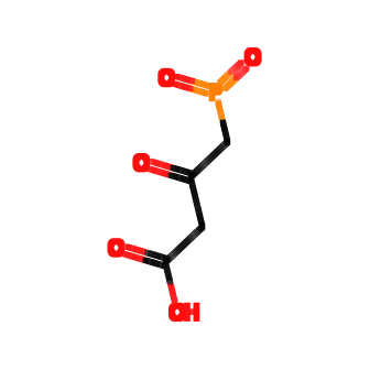 O=C(O)CC(=O)CP(=O)=O